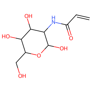 C=CC(=O)NC1C(O)OC(CO)C(O)C1O